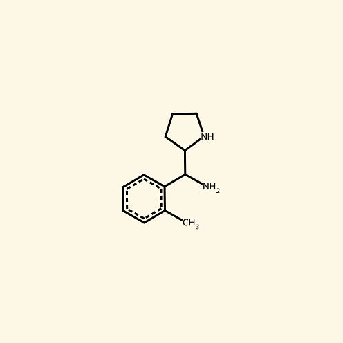 Cc1ccccc1C(N)C1CCCN1